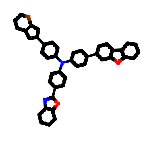 c1csc2cc(-c3ccc(N(c4ccc(-c5ccc6c(c5)oc5ccccc56)cc4)c4ccc(-c5nc6ccccc6o5)cc4)cc3)cc-2c1